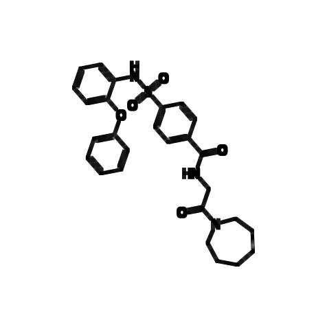 O=C(NCC(=O)N1CCCCCC1)c1ccc(S(=O)(=O)Nc2ccccc2Oc2ccccc2)cc1